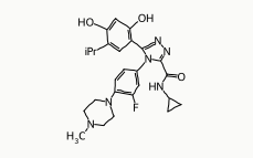 CC(C)c1cc(-c2nnc(C(=O)NC3CC3)n2-c2ccc(N3CCN(C)CC3)c(F)c2)c(O)cc1O